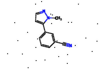 Cn1nccc1-c1cccc(C#N)c1